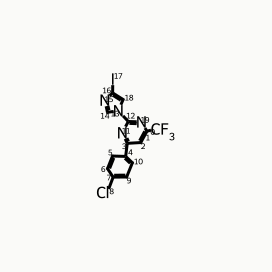 FC(F)(F)c1cc(-c2ccc(Cl)cc2)nc(-n2cnc(I)c2)n1